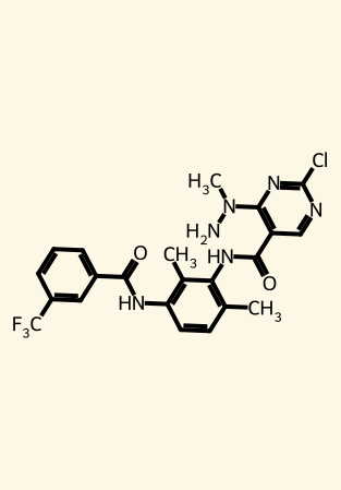 Cc1ccc(NC(=O)c2cccc(C(F)(F)F)c2)c(C)c1NC(=O)c1cnc(Cl)nc1N(C)N